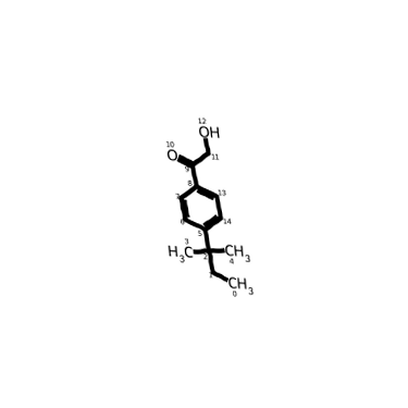 CCC(C)(C)c1ccc(C(=O)CO)cc1